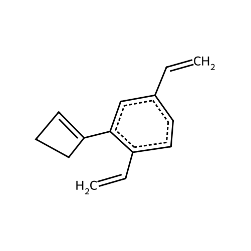 C=Cc1ccc(C=C)c(C2=CCC2)c1